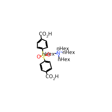 CCCCCC[N+](CCCCCC)(CCCCCC)CCCCCC.O=C(O)c1ccc(S(=O)(=O)c2ccc(C(=O)O)cc2)cc1